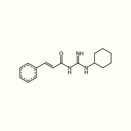 N=C(NC(=O)/C=C/c1ccccc1)NC1CCCCC1